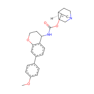 COc1ccc(-c2ccc3c(c2)OCCC3NC(=O)O[C@@H]2CN3CCC2CC3)cc1